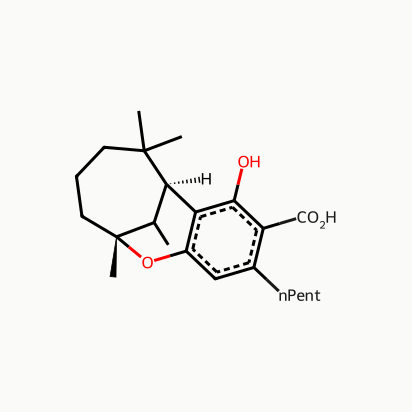 CCCCCc1cc2c(c(O)c1C(=O)O)[C@H]1C(C)[C@@](C)(CCCC1(C)C)O2